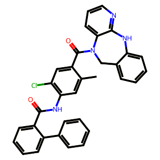 Cc1cc(NC(=O)c2ccccc2-c2ccccc2)c(Cl)cc1C(=O)N1Cc2ccccc2Nc2ncccc21